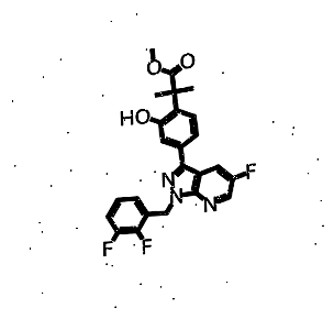 COC(=O)C(C)(C)c1ccc(-c2nn(Cc3cccc(F)c3F)c3ncc(F)cc23)cc1O